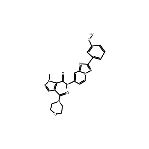 Cn1ncc(C(=O)N2CCOCC2)c1C(=O)Nc1ccn2nc(-c3cccc(O[11CH3])c3)nc2c1